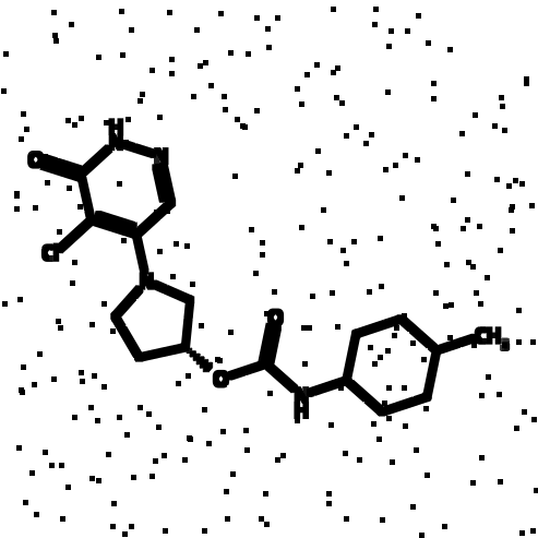 CC1CCC(NC(=O)O[C@@H]2CCN(c3cn[nH]c(=O)c3Cl)C2)CC1